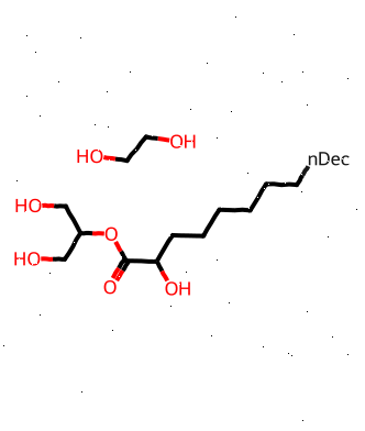 CCCCCCCCCCCCCCCCC(O)C(=O)OC(CO)CO.OCCO